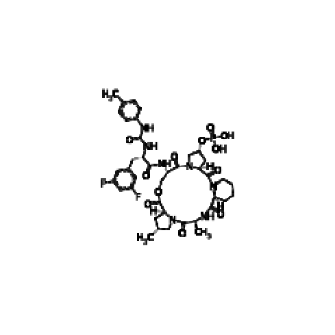 Cc1ccc(NC(=O)N[C@@H](Cc2cc(F)cc(F)c2)C(=O)N[C@H]2COC(=O)[C@@H]3C[C@@H](C)CN3C(=O)[C@H](C)NC(=O)[C@@H]3CCCCN3C(=O)[C@@H]3C[C@@H](OP(=O)(O)O)CN3C2=O)cc1